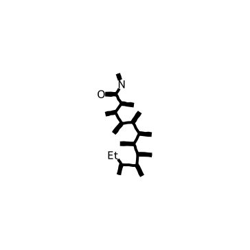 C=NC(=O)C(=C)C(=C)C(=C)C(=C)C(=C)C(=C)C(=C)C(=C)C(=C)CC